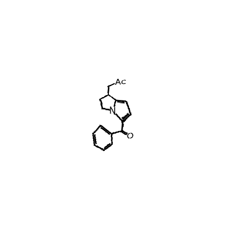 CC(=O)CC1CCn2c(C(=O)c3ccccc3)ccc21